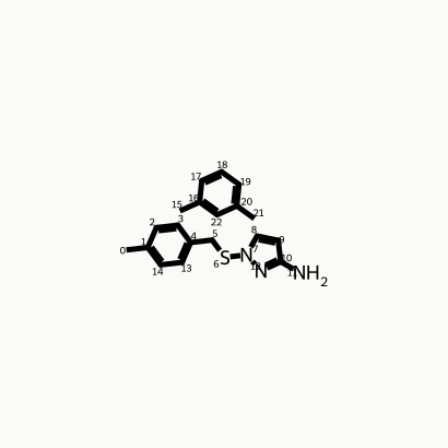 Cc1ccc(CSn2ccc(N)n2)cc1.Cc1cccc(C)c1